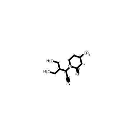 CCC(CC)C(C#N)N1CCC(C)CC1=S